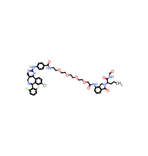 CCCC(C(=O)NC=O)N1Cc2c(NC(=O)COCCOCCOCCOCCNC(=O)c3ccc(Nc4ncc5c(n4)-c4ccc(Cl)cc4C(c4c(F)cccc4F)=NC5)cc3)cccc2C1=O